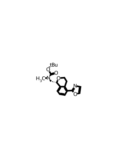 CN(C[C@@H]1OCCc2c(-c3ncco3)cccc21)C(=O)OC(C)(C)C